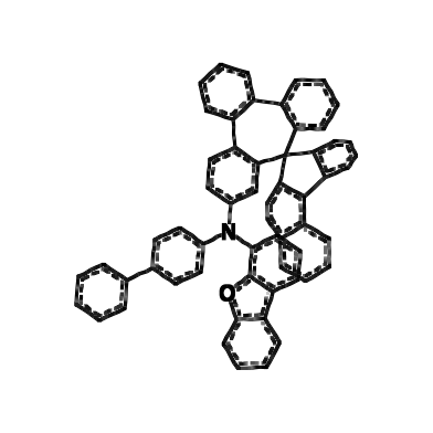 c1ccc(-c2ccc(N(c3ccc4c(c3)C3(c5ccccc5-c5ccccc5-4)c4ccccc4-c4c3ccc3ccccc43)c3cccc4c3oc3ccccc34)cc2)cc1